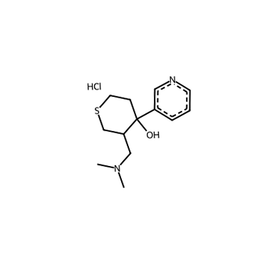 CN(C)CC1CSCCC1(O)c1cccnc1.Cl